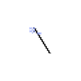 CCCCCCCCCCCCCCCCCCNCCC(N)CN